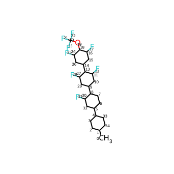 CC1CCC(C2CCC(C3CC(F)C(C4CC(F)C(OC(F)(F)F)C(F)C4)C(F)C3)C(F)C2)CC1